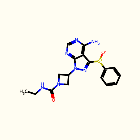 CCNC(=O)N1CC(n2nc([S+]([O-])c3ccccc3)c3c(N)ncnc32)C1